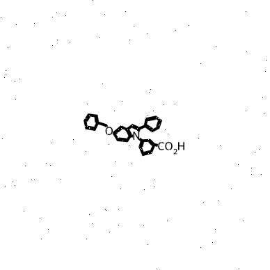 O=C(O)c1cccc(-n2c(-c3ccccc3)cc3cc(OCc4ccccc4)ccc32)c1